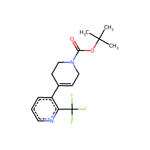 CC(C)(C)OC(=O)N1CC=C(c2cccnc2C(F)(F)F)CC1